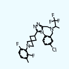 Cc1ccc(F)c(N2CC3(CC(c4nnc5n4-c4ccc(Cl)cc4CN(C(C)C(F)(F)F)C5)C3)C2)c1F